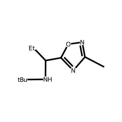 CCC(NC(C)(C)C)c1nc(C)no1